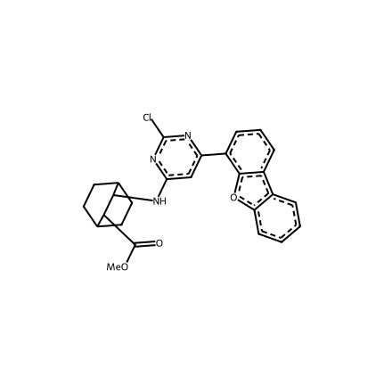 COC(=O)C1C2CCC(CC2)C1Nc1cc(-c2cccc3c2oc2ccccc23)nc(Cl)n1